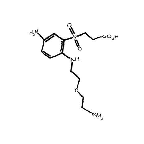 NCCOCCNc1ccc(N)cc1S(=O)(=O)CCS(=O)(=O)O